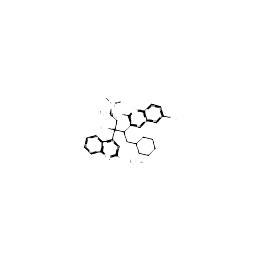 COc1cc(C(O)(CCN(C)C)C(CC2CCCCC2)c2cc3cc(Br)ccc3nc2OC)c2ccccc2n1